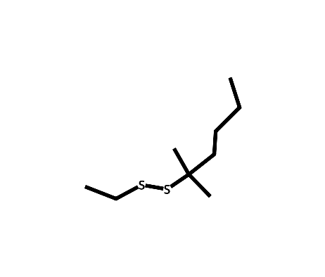 CCCCC(C)(C)SSCC